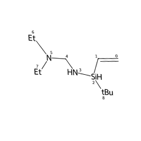 C=C[SiH](NCN(CC)CC)C(C)(C)C